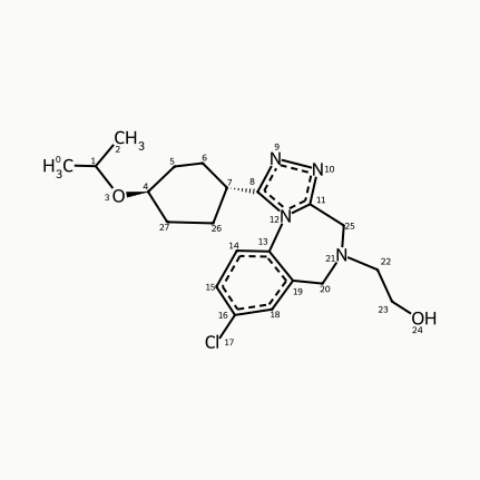 CC(C)O[C@H]1CC[C@H](c2nnc3n2-c2ccc(Cl)cc2CN(CCO)C3)CC1